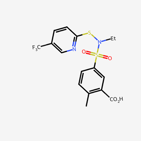 CCN(Sc1ccc(C(F)(F)F)cn1)S(=O)(=O)c1ccc(C)c(C(=O)O)c1